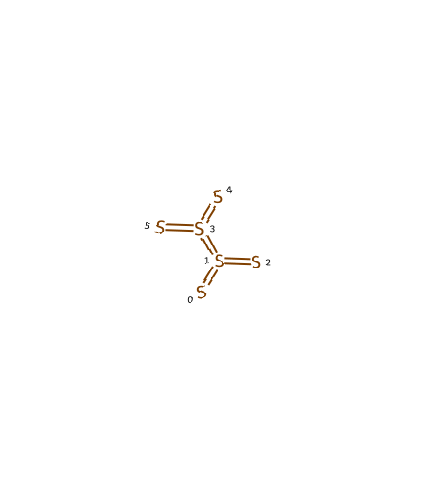 S=S(=S)=S(=S)=S